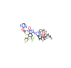 C[C@@H]1CN(c2nc(=O)n3c4c(c(C5=CCSCC5)c(C(F)(F)F)cc24)SC[C@@H](Oc2ncccn2)C3)C[C@H](C)N1C(=O)OC(C)(C)C